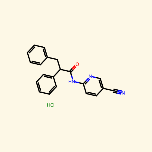 Cl.N#Cc1ccc(NC(=O)C(Cc2ccccc2)c2ccccc2)nc1